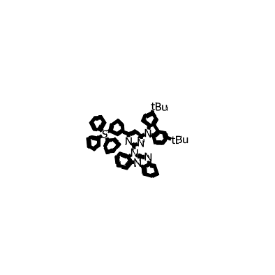 CC(C)(C)c1ccc2c(c1)c1cc(C(C)(C)C)ccc1n2-c1cc(-c2cccc(S(c3ccccc3)(c3ccccc3)c3ccccc3)c2)nc(-n2c3ccccc3n3c4ccccc4nc23)n1